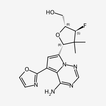 CC1(C)[C@H](F)[C@@H](CO)O[C@H]1c1cc(-c2ncco2)c2c(N)ncnn12